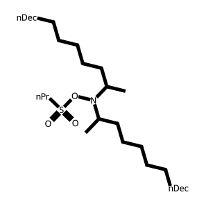 CCCCCCCCCCCCCCCC(C)N(OS(=O)(=O)CCC)C(C)CCCCCCCCCCCCCCC